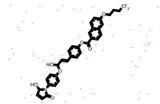 O=C(Oc1ccc(/C=C/C(O)Oc2ccc(N3C(=O)C=CC3O)cc2)cc1)c1ccc2cc(OCCCC(F)(F)F)ccc2c1